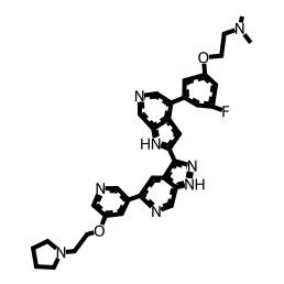 CN(C)CCOc1cc(F)cc(-c2cncc3[nH]c(-c4n[nH]c5cnc(-c6cncc(OCCN7CCCC7)c6)cc45)cc23)c1